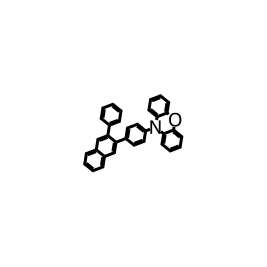 c1ccc(-c2cc3ccccc3cc2-c2ccc(N3c4ccccc4Oc4ccccc43)cc2)cc1